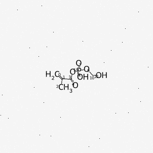 C=C(C)C(=O)OP(=O)(O)OCO